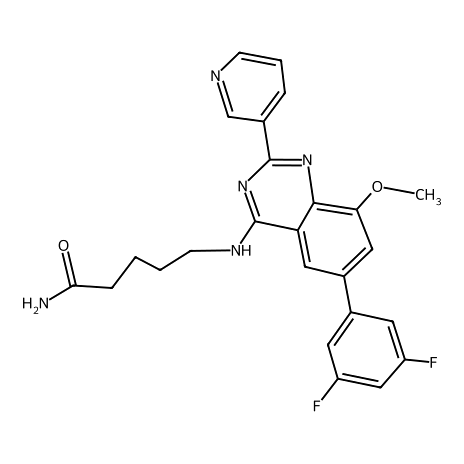 COc1cc(-c2cc(F)cc(F)c2)cc2c(NCCCCC(N)=O)nc(-c3cccnc3)nc12